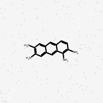 Nc1cc2cc3ccc(N)c(N)c3cc2cc1N